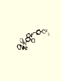 CC(=O)N1CCCC[C@@H]1C(=O)Nc1cc(Cl)c2c(c1)CCN2CCc1ccc(C(F)(F)F)cc1